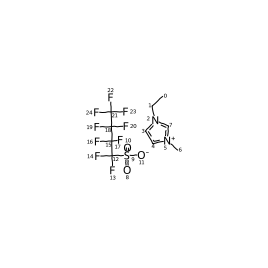 CCn1cc[n+](C)c1.O=S(=O)([O-])C(F)(F)C(F)(F)C(F)(F)C(F)(F)F